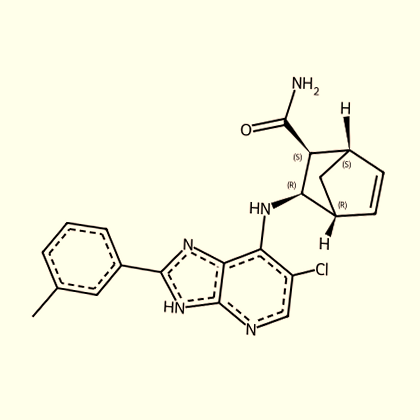 Cc1cccc(-c2nc3c(N[C@H]4[C@@H](C(N)=O)[C@@H]5C=C[C@H]4C5)c(Cl)cnc3[nH]2)c1